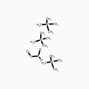 C[N+](C)(C)C.C[N+](C)(C)C.C[N+](C)(C)C.[O-]OB([O-])[O-]